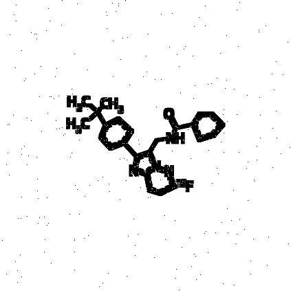 CC(C)(C)c1ccc(-c2nc3ccc([18F])nn3c2CNC(=O)c2ccccc2)cc1